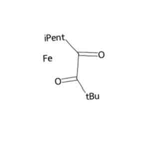 CCCC(C)C(=O)C(=O)C(C)(C)C.[Fe]